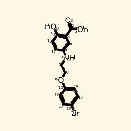 O=C(O)c1cc(NCCOc2ccc(Br)cc2)ccc1O